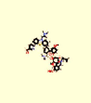 CC(CN1c2ccccc2Sc2ccccc21)N(C)C.COc1cccc([C@@]2(O)CCCC[C@@H]2CN(C)C)c1.O=C(O)c1cccnc1.O=C1CC[C@@]2(O)[C@H]3Cc4ccc(O)c5c4[C@@]2(CCN3CC2CC2)[C@H]1O5